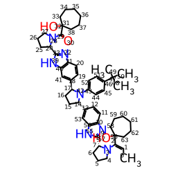 C/C=C(\N1CCC[C@@H]1c1nc2ccc([C@@H]3CC[C@@H](c4ccc5nc([C@H]6CCCN6C(=O)C6(O)CCCCCC6)[nH]c5c4)N3c3ccc(C(C)(C)C)cc3)cc2[nH]1)C1(O)CCCCCC1